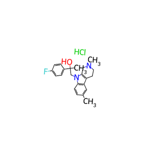 Cc1ccc2c(c1)c1c(n2CC(C)(O)c2ccc(F)cc2)CN(C)CC1.Cl